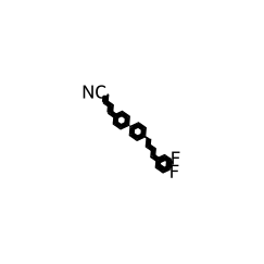 N#C/C=C/C=C/C1CCC([C@H]2CC[C@H](CCCCc3ccc(F)c(F)c3)CC2)CC1